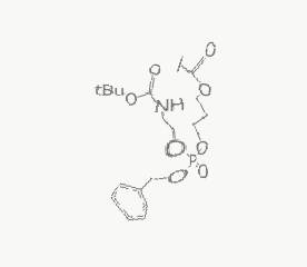 CC(C)(C)OC(=O)NCCOP(=O)(OCCCOC(=O)I)OCc1ccccc1